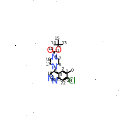 Cc1cc2c(N3CCN(C(=O)OC(C)(C)C)CC3)cnnc2cc1Cl